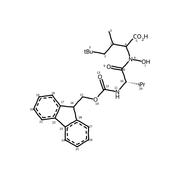 CC(CC(C)(C)C)C(C(=O)O)N(O)C(=O)[C@@H](NC(=O)OCC1c2ccccc2-c2ccccc21)C(C)C